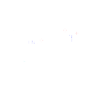 O=C(/C=C/c1ccc(/C=C(\C(=O)NCc2ccc(F)cc2)c2ccc(F)cc2)cc1)NO